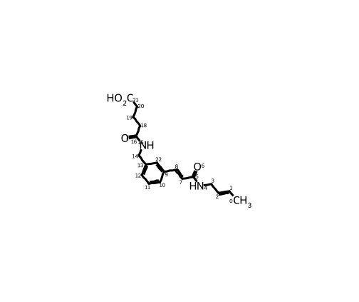 C/C=C/CNC(=O)/C=C/c1cccc(CNC(=O)CCCC(=O)O)c1